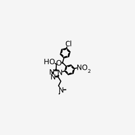 CN(C)CCc1nnc(CO)n1-c1ccc([N+](=O)[O-])cc1C(=O)c1ccc(Cl)cc1